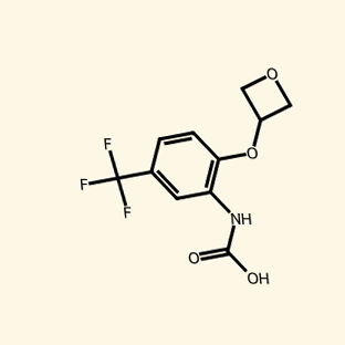 O=C(O)Nc1cc(C(F)(F)F)ccc1OC1COC1